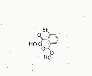 CCc1cccc(C(=O)OO)c1C(=O)OO